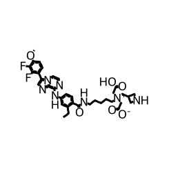 CCc1cc(Nc2nccn3c(-c4ccc(OC)c(F)c4F)cnc23)ccc1C(=O)NCCCCC[N+](CC(=O)[O-])(CC(=O)O)CC1CNC1